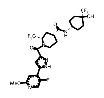 COc1cc(-c2cc(C(=O)N3CC[C@@H](C(=O)N[C@H]4CC[C@@](O)(C(F)(F)F)CC4)C[C@H]3C(F)(F)F)n[nH]2)c(F)cn1